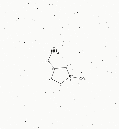 NCC1CC[S+]([O-])C1